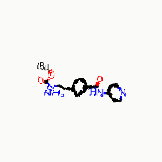 CC(C)(C)OC(=O)N(N)CCc1ccc(C(=O)Nc2ccncc2)cc1